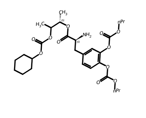 CCCOC(=O)Oc1ccc(C[C@H](N)C(=O)O[C@@H](C)C(C)OC(=O)OC2CCCCC2)cc1OC(=O)OCCC